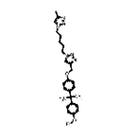 CCOc1ccc(C(c2ccc(OCc3cn(CCCCCn4cc(C)nn4)nn3)cc2)(C(F)(F)F)C(F)(F)F)cc1